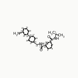 CC(C)NC(=O)c1cccc(C(=O)NCc2ccc(-c3cccc(N)c3)cc2)n1